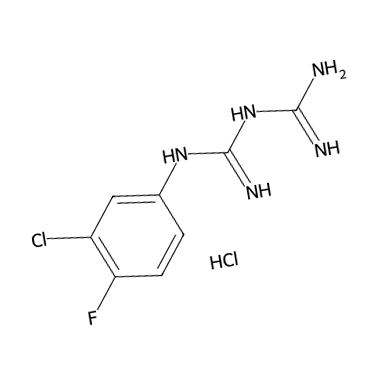 Cl.N=C(N)NC(=N)Nc1ccc(F)c(Cl)c1